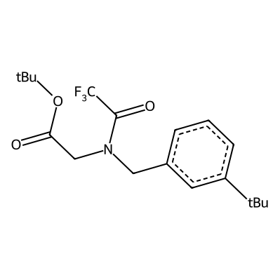 CC(C)(C)OC(=O)CN(Cc1cccc(C(C)(C)C)c1)C(=O)C(F)(F)F